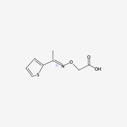 C/C(=N\OCC(=O)O)c1cccs1